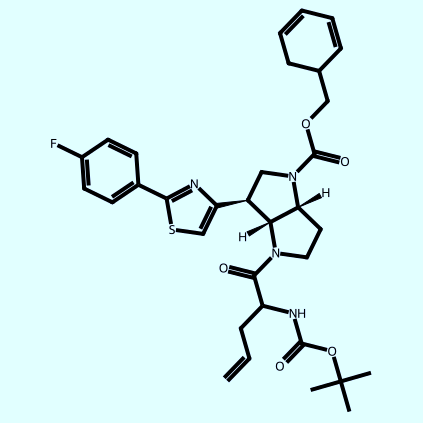 C=CCC(NC(=O)OC(C)(C)C)C(=O)N1CC[C@@H]2[C@H]1[C@@H](c1csc(-c3ccc(F)cc3)n1)CN2C(=O)OCC1C=CC=CC1